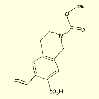 C=Cc1cc2c(cc1C(=O)O)CN(C(=O)OC(C)(C)C)CC2